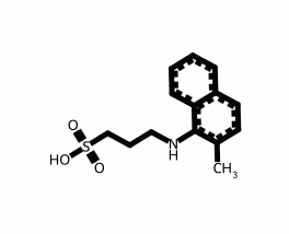 Cc1ccc2ccccc2c1NCCCS(=O)(=O)O